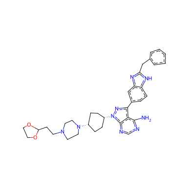 Nc1ncnc2c1c(-c1ccc3[nH]c(Cc4ccccc4)nc3c1)nn2[C@H]1CC[C@@H](N2CCN(CCC3OCCO3)CC2)CC1